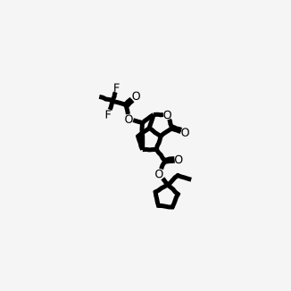 CCC1(OC(=O)C2C3CC4C(OC(=O)C42)C3OC(=O)C(C)(F)F)CCCC1